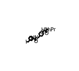 CCCNC(=O)CN1CCC(CNC(=O)c2cccc(CI)c2)CC1